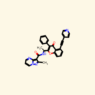 Cc1nn2cccnc2c1C(=O)N[C@@H](C)c1oc2cccc(C#Cc3ccncc3)c2c(=O)c1-c1ccccc1